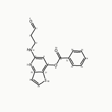 O=CCCNc1cc(OC(=O)c2ccccc2)c2sccc2n1